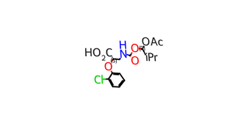 CC(=O)O[C@H](OC(=O)NC[C@H](Oc1ccccc1Cl)C(=O)O)C(C)C